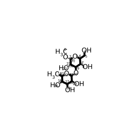 CO[C@@H]1OC(CO)[C@@H](O)C(O[C@@H]2OC(C)[C@H](O)C(O)[C@@H]2O)[C@@H]1O